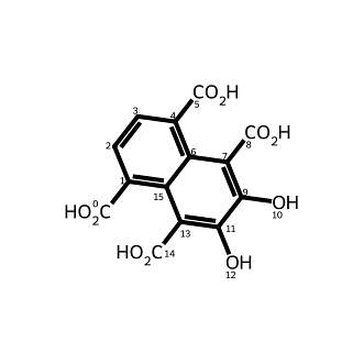 O=C(O)c1ccc(C(=O)O)c2c(C(=O)O)c(O)c(O)c(C(=O)O)c12